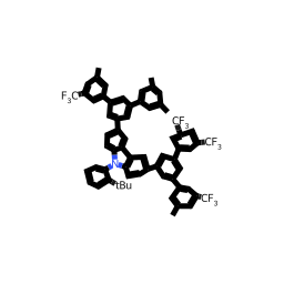 Cc1cc(C)cc(-c2cc(-c3cc(C)cc(C(F)(F)F)c3)cc(-c3ccc4c(c3)c3cc(-c5cc(-c6cc(C)cc(C(F)(F)F)c6)cc(-c6cc(C(F)(F)F)cc(C(F)(F)F)c6)c5)ccc3n4-c3ccccc3C(C)(C)C)c2)c1